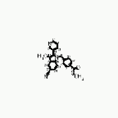 COC(=O)c1ccc(Cn2c(-c3cccnc3)c(C)c3cc(C#N)ccc32)cc1